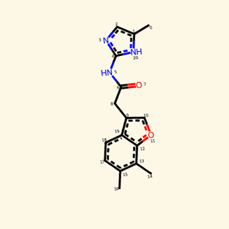 Cc1cnc(NC(=O)Cc2coc3c(C)c(C)ccc23)[nH]1